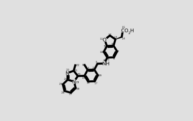 Cc1c(CNc2ccc3c(c2)OC[C@H]3CC(=O)O)cccc1C1C(C)N=C2C=CC=CN21